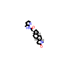 Cc1cccnc1NC(=O)C[C@H]1CC[C@H]2[C@@H]3CC[C@H]4N(C)C(=O)C=C[C@]4(C)[C@H]3CC[C@]12C